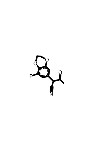 CC(=O)C(C#N)c1cc(F)c2c(c1)OCCO2